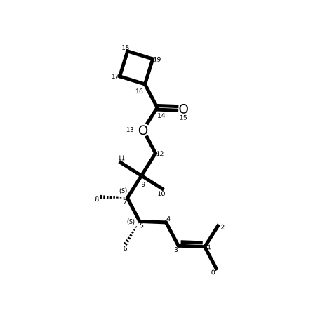 CC(C)=CC[C@H](C)[C@H](C)C(C)(C)COC(=O)C1CCC1